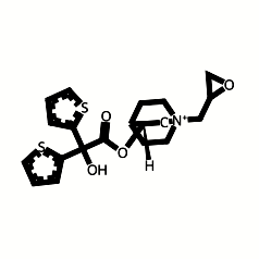 O=C(O[C@H]1C[N+]2(CC3CO3)CCC1CC2)C(O)(c1cccs1)c1cccs1